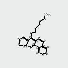 CCCCCCCCCCCCCCCCc1c2ccccc2nc2c1ccc1ccccc12